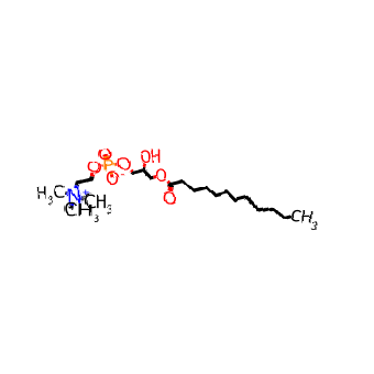 CCCCCCCCCCCC(=O)OCC(O)COP(=O)([O-])OCC[N+](C)(C)C